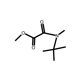 COC(=O)C(=O)N(C)C(C)(C)C